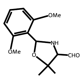 COc1cccc(OC)c1C1NC(C=O)C(C)(C)O1